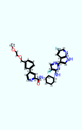 CCOCCOCc1cccc(-c2ccnc(C(=O)N[C@H]3CCC[C@@H](Nc4nc(-c5c[nH]c6ncc(F)cc56)ncc4F)C3)c2)c1